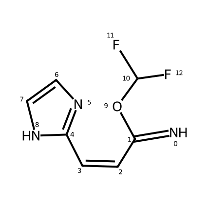 N=C(/C=C\c1ncc[nH]1)OC(F)F